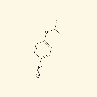 [C-]#[N+]c1ccc(OC(F)F)cc1